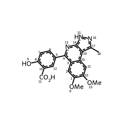 COc1cc2c(-c3ccc(O)c(C(=O)O)c3)nc3[nH]nc(C)c3c2cc1OC